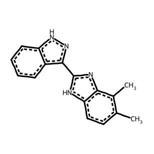 Cc1ccc2[nH]c(-c3n[nH]c4ccccc34)nc2c1C